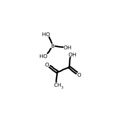 CC(=O)C(=O)O.OB(O)O